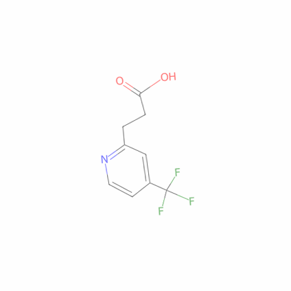 O=C(O)CCc1cc(C(F)(F)F)ccn1